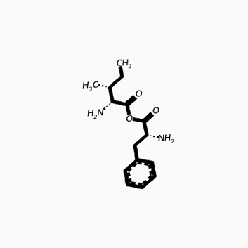 CC[C@@H](C)[C@@H](N)C(=O)OC(=O)[C@H](N)Cc1ccccc1